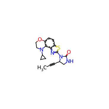 CC#CC1CNC(=O)N1c1nc2c3c(ccc2s1)OCCN3C1CC1